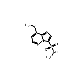 CNS(=O)(=O)c1cnc2c(OC)ccnn12